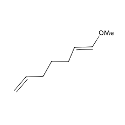 C=CCCC/C=C/OC